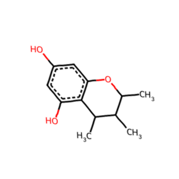 CC1Oc2cc(O)cc(O)c2C(C)C1C